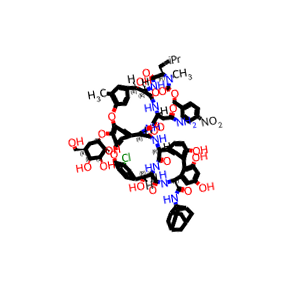 Cc1cc2ccc1Oc1cc3cc(c1O[C@@H]1C[C@H](CO)[C@@H](O)[C@H](O)[C@H]1O)Oc1ccc(cc1Cl)[C@@H](O)[C@@H]1NC(=O)[C@H](NC(=O)[C@@H]3NC(=O)[C@H](CC(N)=O)NC(=O)[C@H](NC(=O)[C@@H](CC(C)C)N(C)C(=O)OCc3ccc([N+](=O)[O-])cc3)[C@@H]2O)c2ccc(O)c(c2)-c2c(O)cc(O)cc2[C@@H](C(=O)NC2C3CC4CC(C3)CC2C4)NC1=O